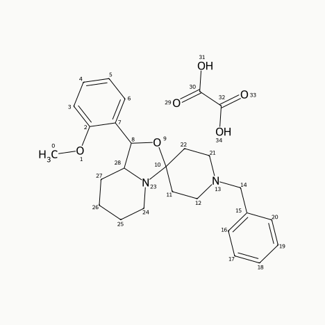 COc1ccccc1C1OC2(CCN(Cc3ccccc3)CC2)N2CCCCC12.O=C(O)C(=O)O